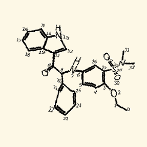 CCOc1ccc(NC(C(=O)c2c[nH]c3ccccc23)c2ccccc2)cc1S(=O)(=O)N(C)C